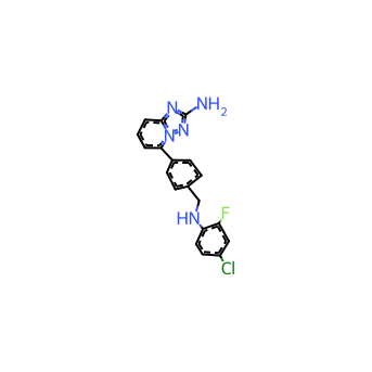 Nc1nc2cccc(-c3ccc(CNc4ccc(Cl)cc4F)cc3)n2n1